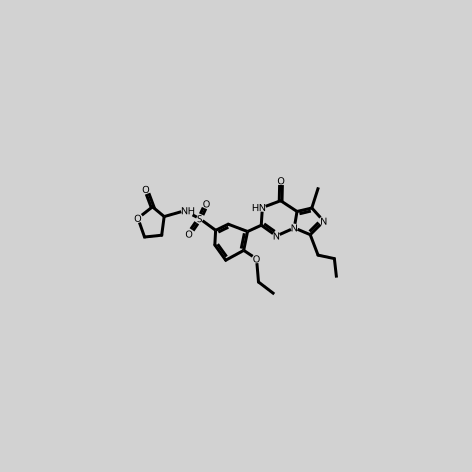 CCCc1nc(C)c2c(=O)[nH]c(-c3cc(S(=O)(=O)NC4CCOC4=O)ccc3OCC)nn12